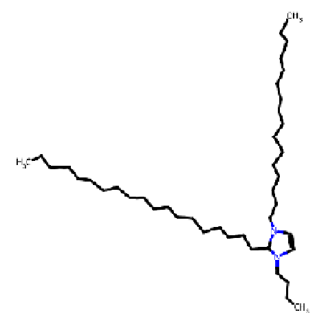 CCCCCCCCCCCCCCCCCCCC1N(CCCC)C=CN1CCCCCCCCCCCCCCCC